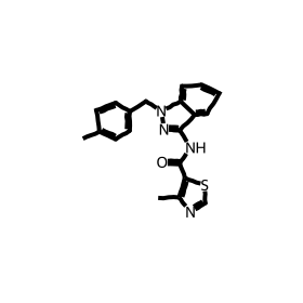 Cc1ccc(Cn2nc(NC(=O)c3scnc3C)c3ccccc32)cc1